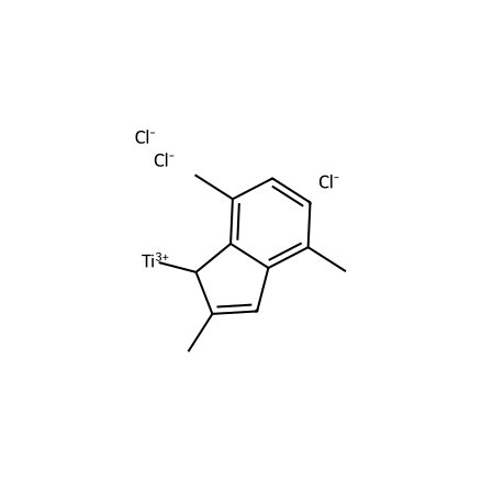 CC1=Cc2c(C)ccc(C)c2[CH]1[Ti+3].[Cl-].[Cl-].[Cl-]